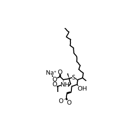 CCCCCCCCCCCCC(C)[C@H](S[C@](C)(CC)[C@H](NC(C)=O)C(=O)OC)[C@@H](O)CC=CC(=O)[O-].[Na+]